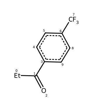 [CH2]CC(=O)c1ccc(C(F)(F)F)cc1